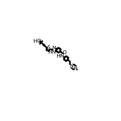 CN1CCN(CCc2ccc(NC(=O)c3ccc4nc(-c5ccc(C#CC(C)(C)O)s5)[nH]c4c3)cc2)CC1